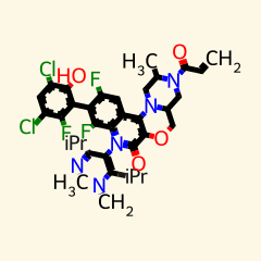 C=CC(=O)N1CC2COc3c(c4cc(F)c(-c5c(O)c(Cl)cc(Cl)c5F)c(F)c4n(C(/C(=N\C)C(C)C)=C(/N=C)C(C)C)c3=O)N2CC1C